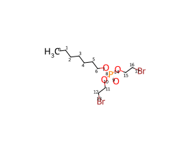 CCCCCCCOP(=O)(OCCBr)OCCBr